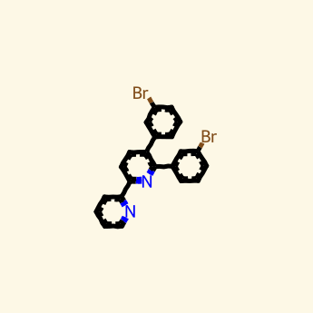 Brc1cccc(-c2ccc(-c3ccccn3)nc2-c2cccc(Br)c2)c1